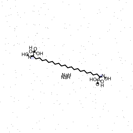 O=P(O)(O)/C(CCCCCCCCCCCCCCCCCCCC/C(=N/O)P(=O)(O)O)=N\O.[NaH].[NaH]